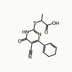 CC(Sc1nc(C2=CCCC=C2)c(C#N)c(=O)[nH]1)C(=O)O